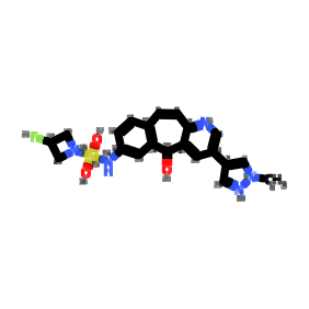 Cn1cc(-c2cnc3ccc4ccc(NS(=O)(=O)N5CC(F)C5)cc4c(=O)c3c2)cn1